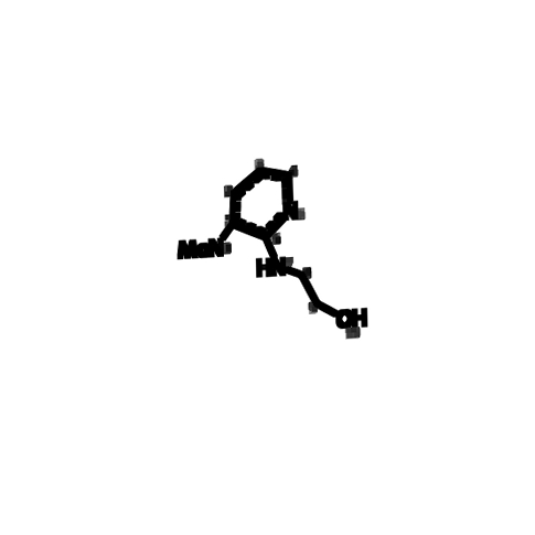 CNc1cccnc1NCCO